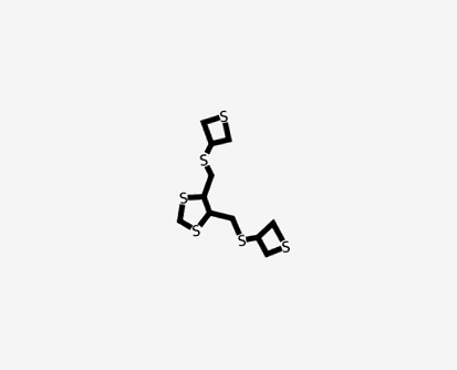 C1SC(CSC2CSC2)C(CSC2CSC2)S1